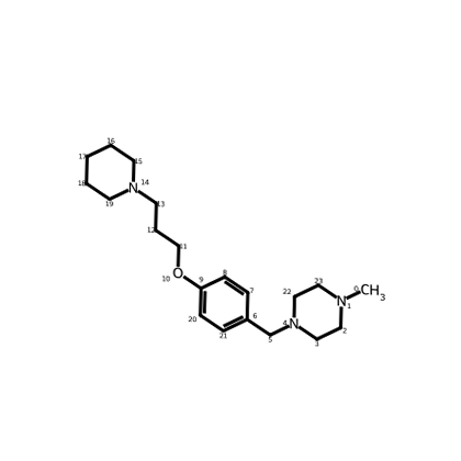 CN1CCN(Cc2ccc(OCCCN3CCCCC3)cc2)CC1